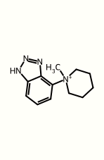 C[N+]1(c2cccc3[nH]nnc23)CCCCC1